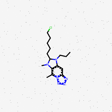 CCCN1c2cc3nnnn3c(C)c2N(C)C1CCCCCCl